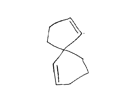 [C]1=CCCC12C=CCCC2